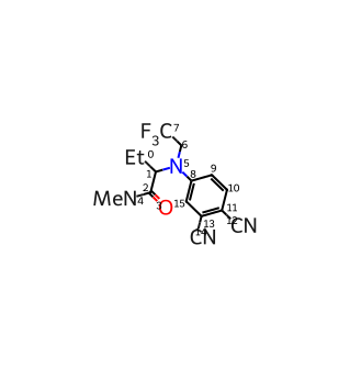 CCC(C(=O)NC)N(CC(F)(F)F)c1ccc(C#N)c(C#N)c1